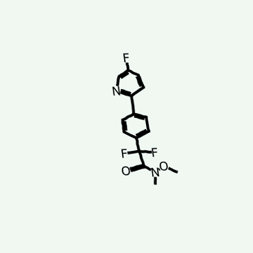 CON(C)C(=O)C(F)(F)c1ccc(-c2ccc(F)cn2)cc1